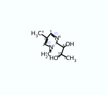 C=N/C=C(C)\C=N/CC(O)C(C)O